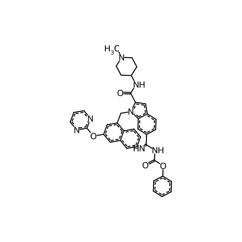 CN1CCC(NC(=O)c2cc3ccc(C(=N)NC(=O)Oc4ccccc4)cc3n2Cc2cc(Oc3ncccn3)cc3ccccc23)CC1